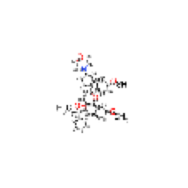 CCC1(O)c2ccccc2-c2c1c1c(c3cc(OC)ccc23)OC(c2ccc(OC)cc2)(c2ccc(N3CCOCC3)cc2)C=C1